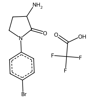 NC1CCN(c2ccc(Br)cc2)C1=O.O=C(O)C(F)(F)F